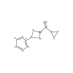 O=C(C1CC1)N1CC(c2[c]cccc2)C1